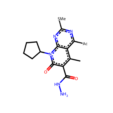 CSc1nc(C(C)=O)c2c(C)c(C(=O)NN)c(=O)n(C3CCCC3)c2n1